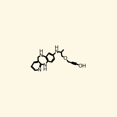 CC(COCC#CO)Nc1ccc2c(c1)NCc1cccnc1N2